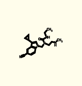 CCNC(=O)N(CCNC)Cn1cc(C2CC2)c2cc(C#N)ccc21